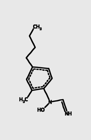 CCCCc1ccc(N(O)C=N)c(C)c1